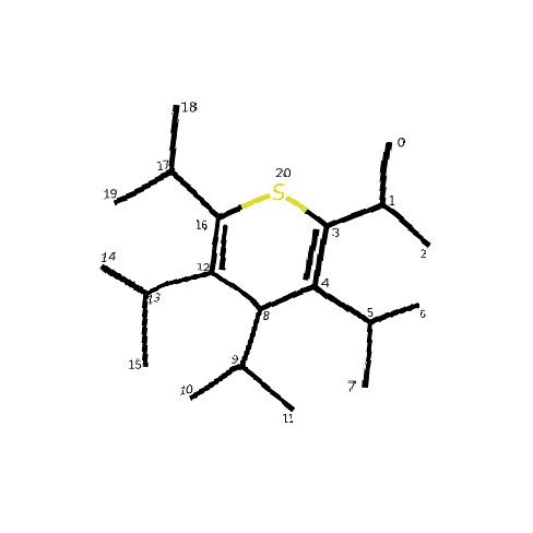 CC(C)C1=C(C(C)C)C(C(C)C)C(C(C)C)=C(C(C)C)S1